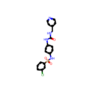 O=C(NCc1ccncc1)Nc1ccc(NS(=O)(=O)c2cccc(Cl)c2)cc1